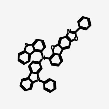 c1ccc(-c2nc3cc4oc5c(N(c6ccc7c8ccccc8n(-c8ccccc8)c7c6)c6cccc7sc8ccccc8c67)cccc5c4cc3o2)cc1